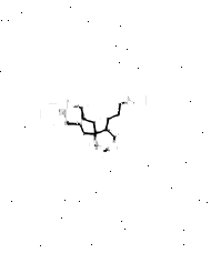 NCCCC1COOOC1(CCCN)CCCN